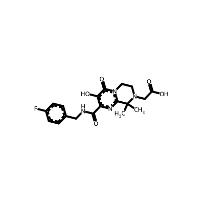 CC1(C)c2nc(C(=O)NCc3ccc(F)cc3)c(O)c(=O)n2CCN1CC(=O)O